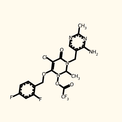 Cc1ncc(CN2C(=O)C(Cl)=C(OCc3ccc(F)cc3F)N(OC(=O)C(F)(F)F)C2C)c(N)n1